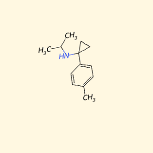 Cc1ccc(C2(NC(C)C)CC2)cc1